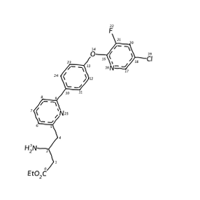 CCOC(=O)CC(N)Cc1cccc(-c2ccc(Oc3ncc(Cl)cc3F)cc2)n1